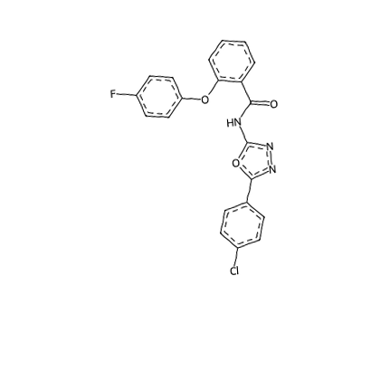 O=C(Nc1nnc(-c2ccc(Cl)cc2)o1)c1ccccc1Oc1ccc(F)cc1